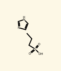 CCCS(=O)(=O)O.c1c[nH]cn1